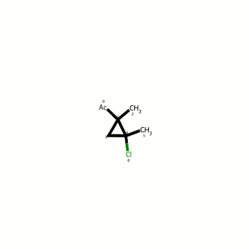 CC(=O)C1(C)CC1(C)Cl